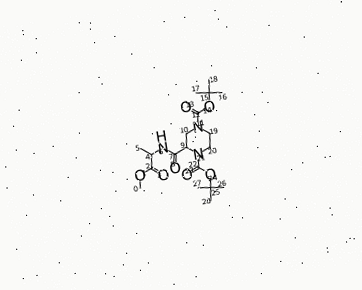 COC(=O)C(C)NC(=O)C1CN(C(=O)OC(C)(C)C)CCN1C(=O)OC(C)(C)C